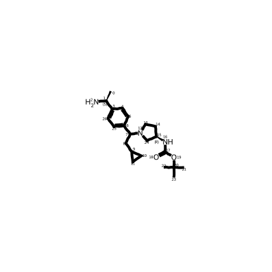 C[C@H](N)c1ccc(C(CC2CC2)N2CC[C@@H](NC(=O)OC(C)(C)C)C2)cc1